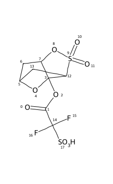 O=C(OC12OC3CC1OS(=O)(=O)C2C3)C(F)(F)S(=O)(=O)O